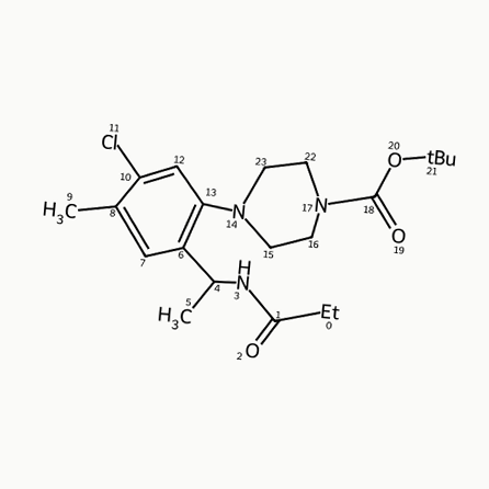 CCC(=O)NC(C)c1cc(C)c(Cl)cc1N1CCN(C(=O)OC(C)(C)C)CC1